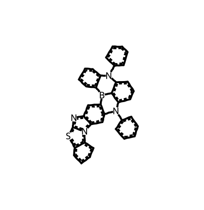 c1ccc(N2c3ccccc3B3c4cc5nc6sc7ccccc7n6c5cc4N(c4ccccc4)c4cccc2c43)cc1